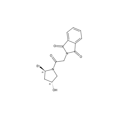 CC[C@@H]1C[C@@H](O)CN1C(=O)CN1C(=O)c2ccccc2C1=O